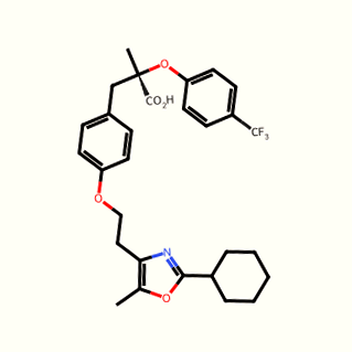 Cc1oc(C2CCCCC2)nc1CCOc1ccc(C[C@](C)(Oc2ccc(C(F)(F)F)cc2)C(=O)O)cc1